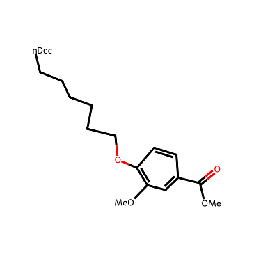 CCCCCCCCCCCCCCCCOc1ccc(C(=O)OC)cc1OC